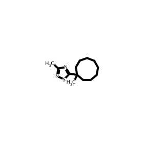 Cc1nsc(C2(C)CCCCCCCC2)n1